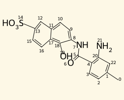 Cc1ccc(C(=O)Nc2ccc3cc(S(=O)(=O)O)ccc3c2O)c(N)c1